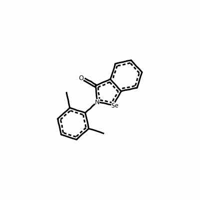 Cc1cccc(C)c1-n1[se]c2ccccc2c1=O